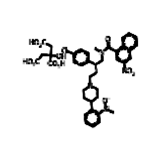 CN(CC(CCN1CCC(c2ccccc2[S+](C)[O-])CC1)c1ccc(Cl)cc1)C(=O)c1cc([N+](=O)[O-])cc2ccccc12.O=C(O)CC(O)(CC(=O)O)C(=O)O